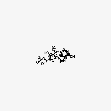 O=P([O-])([O-])OC[C@H]1O[C@@H](n2cnc3c(O)ncnc32)[C@H](O)[C@@H]1O.[K+].[K+]